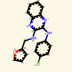 Clc1ccc(Nc2nc3ccccc3nc2NCc2ccco2)cc1